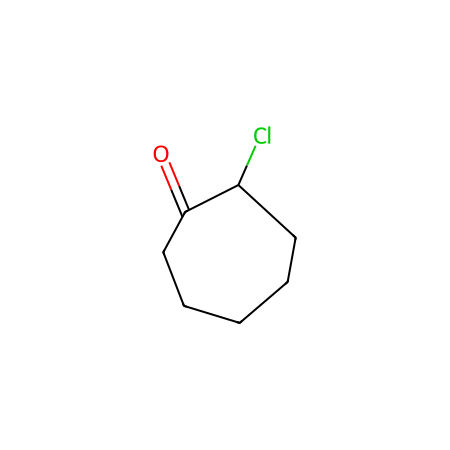 O=C1CCCCCC1Cl